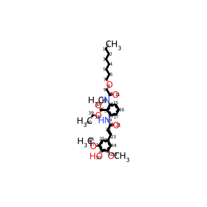 CCCCCCCCOCC(=O)N(C)c1cccc(NC(=O)C=Cc2cc(OC)c(O)c(OC)c2)c1C(=O)OCC